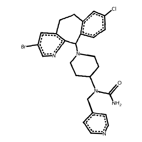 NC(=O)N(Cc1ccncc1)C1CCN(C2c3ccc(Cl)cc3CCc3cc(Br)cnc32)CC1